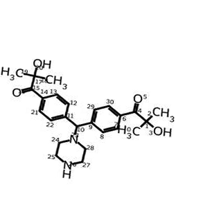 CC(C)(O)C(=O)c1ccc(C(c2ccc(C(=O)C(C)(C)O)cc2)N2CCNCC2)cc1